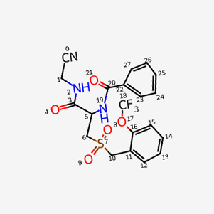 N#CCNC(=O)C(CS(=O)(=O)Cc1ccccc1OC(F)(F)F)NC(=O)c1ccccc1